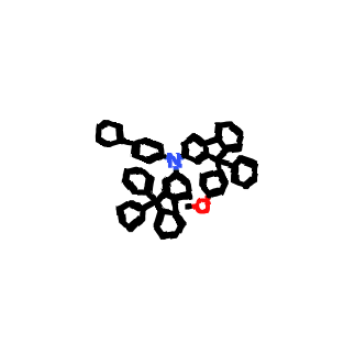 COc1ccc(C2(c3ccccc3)c3ccccc3-c3ccc(N(c4ccc(-c5ccccc5)cc4)c4ccc5c(c4)C(c4ccccc4)(c4ccccc4)c4ccccc4-5)cc32)cc1